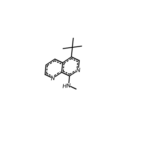 CNc1ncc(C(C)(C)C)c2cccnc12